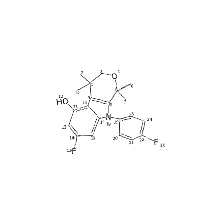 CC1(C)COC(C)(C)c2c1c1c(O)cc(F)cc1n2-c1ccc(F)cc1